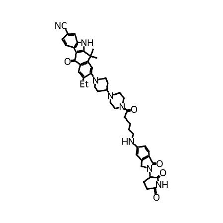 CCc1cc2c(cc1N1CCC(N3CCN(C(=O)CCCCNc4ccc5c(c4)CN(C4CCC(=O)NC4=O)C5=O)CC3)CC1)C(C)(C)c1[nH]c3cc(C#N)ccc3c1C2=O